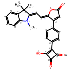 CCCCCCCCN1/C(=C\C=C2/OC(=O)C=C2c2ccc(-c3c(O)c(=O)c3=O)cc2)C(C)(C)c2ccccc21